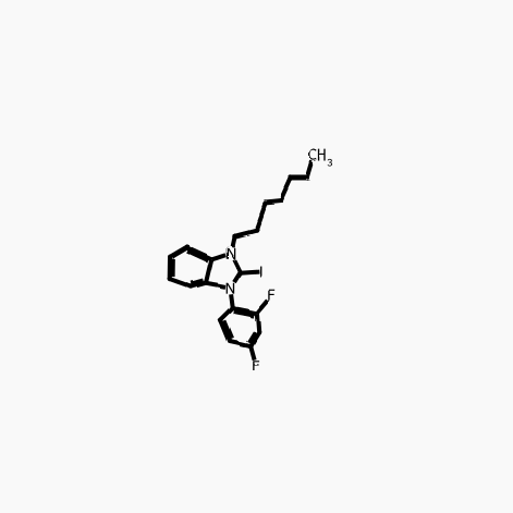 CCCCCCCN1c2ccccc2N(c2ccc(F)cc2F)C1I